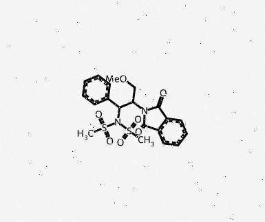 COCC(C(c1ccccc1)N(S(C)(=O)=O)S(C)(=O)=O)N1C(=O)c2ccccc2C1=O